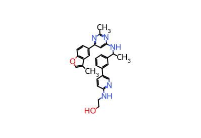 Cc1nc(NC(C)c2cccc(-c3ccc(NCCO)nc3)c2)cc(-c2ccc3occ(C)c3c2)n1